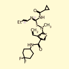 C=Cc1c(C(=O)NC2CCC(F)(F)CC2)csc1N(C)S/C(=N\C=C\CC)NC(=O)C1CC1